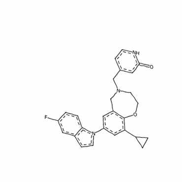 O=c1cc(CN2CCOc3c(cc(-n4ccc5cc(F)ccc54)cc3C3CC3)C2)cc[nH]1